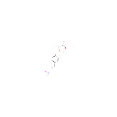 O=C(NC(CO)C(=O)O)Oc1ccc(CCO[N+](=O)[O-])cc1